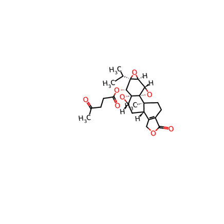 CC(=O)CCC(=O)O[C@@H]1[C@@]2(C(C)C)O[C@H]2[C@@H]2O[C@]23[C@]12O[C@H]2C[C@H]1C2=C(CC[C@@]13C)C(=O)OC2